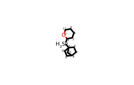 C1CCC([SiH2]C23CCC(CC2)C3)OC1